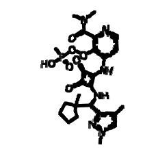 Cc1cn(C)nc1C(Nc1c(Nc2ccnc(C(=O)N(C)C)c2OOP(C)(=O)O)c(=O)c1=O)C1(C)CCCC1